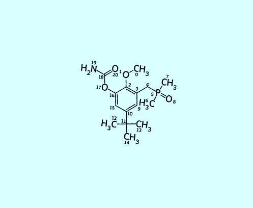 COc1c(CP(C)(C)=O)cc(C(C)(C)C)cc1OC(N)=O